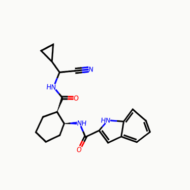 N#CC(NC(=O)[C@@H]1CCCC[C@@H]1NC(=O)c1cc2ccccc2[nH]1)C1CC1